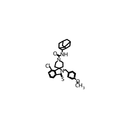 COc1ccc(CN2C(=S)c3cccc(Cl)c3C23CCN(C(=O)NC2C4CC5CC(C4)CC2C5)CC3)cc1